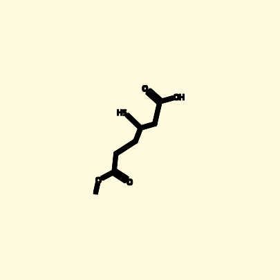 COC(=O)CCC(S)CC(=O)O